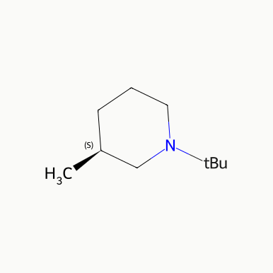 C[C@H]1CCCN(C(C)(C)C)C1